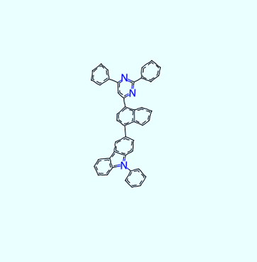 c1ccc(-c2cc(-c3ccc(-c4ccc5c(c4)c4ccccc4n5-c4ccccc4)c4ccccc34)nc(-c3ccccc3)n2)cc1